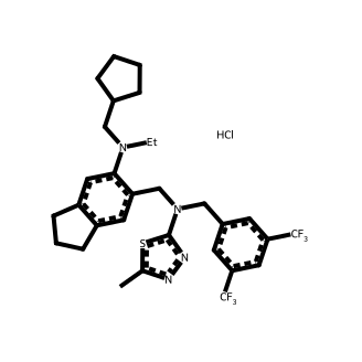 CCN(CC1CCCC1)c1cc2c(cc1CN(Cc1cc(C(F)(F)F)cc(C(F)(F)F)c1)c1nnc(C)s1)CCC2.Cl